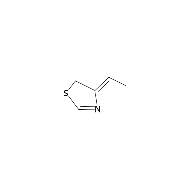 CC=C1CSC=N1